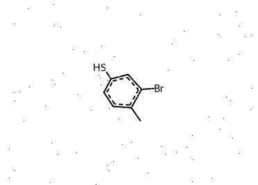 Cc1ccc(S)cc1Br